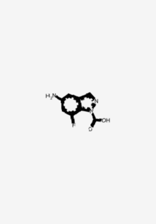 Nc1cc(F)c2c(cnn2C(=O)O)c1